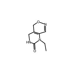 CCN1C(=O)NCC2=C1C=NOC2